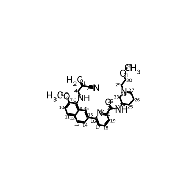 C=C(C#N)CNc1c(OC)ccc2ccc(-c3cccc(C(=O)NC4CCCN(CCOC)C4)n3)cc12